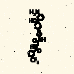 Nc1cccc(C2(O)CCC(N3CC(NC(=O)CNC(=O)c4cccc(C(F)(F)F)c4)C3)CC2)c1